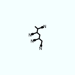 CC(C#N)C(C#N)CC(C#N)CC#N